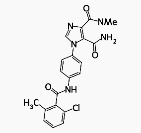 CNC(=O)c1ncn(-c2ccc(NC(=O)c3c(C)cccc3Cl)cc2)c1C(N)=O